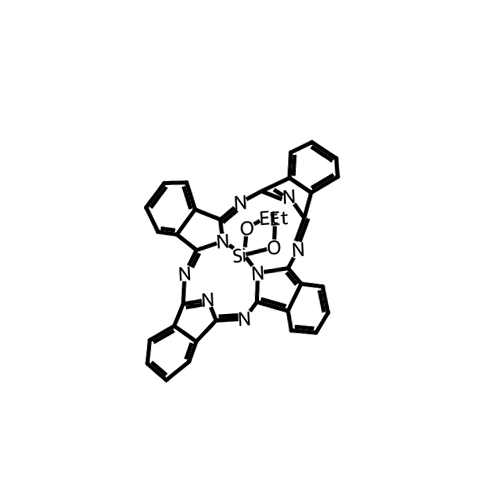 CCO[Si]1(OCC)n2c3c4ccccc4c2/N=C2N=C(/N=c4/c5ccccc5/c(n41)=N/C1=NC(=N\3)/c3ccccc31)c1ccccc1\2